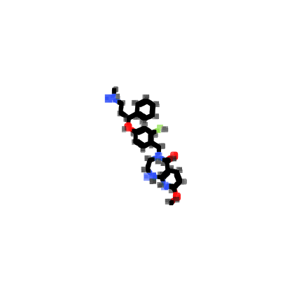 CNCC[C@H](Oc1ccc(CN2CCNc3nc(OC)ccc3C2=O)c(F)c1)c1ccccc1